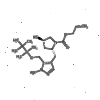 C=CCOC(=O)N1C[C@H](O)C[C@H]1Cc1cnn(C)c1CO[Si](C)(C)C(C)(C)C